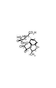 CC1COc2ccccc2N1C(=O)C(Cl)Cl.O=C(O)CNCP(=O)(O)O